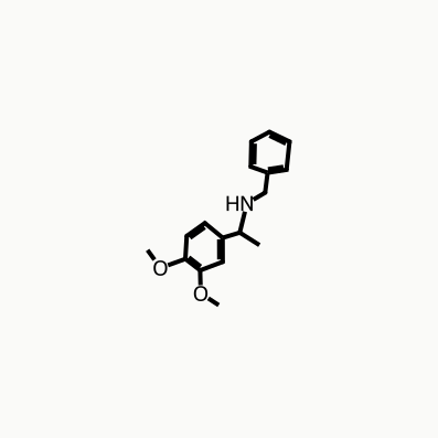 COc1ccc(C(C)NCc2ccccc2)cc1OC